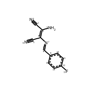 N#C/C(N)=C(\C#N)N=Cc1ccc(F)cc1